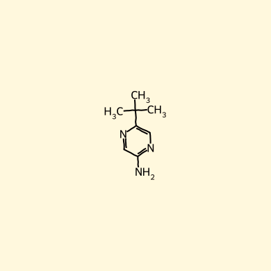 CC(C)(C)c1cnc(N)cn1